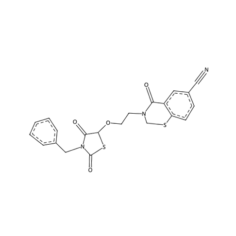 N#Cc1ccc2c(c1)C(=O)N(CCOC1SC(=O)N(Cc3ccccc3)C1=O)CS2